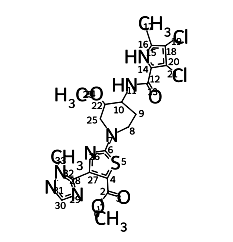 COC(=O)c1sc(N2CCC(NC(=O)c3[nH]c(C)c(Cl)c3Cl)C(OC)C2)nc1-c1ncnn1C